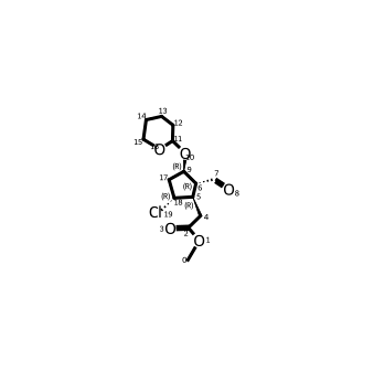 COC(=O)C[C@@H]1[C@@H](C=O)[C@H](OC2CCCCO2)C[C@H]1Cl